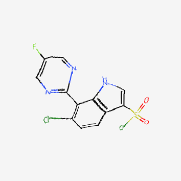 O=S(=O)(Cl)c1c[nH]c2c(-c3ncc(F)cn3)c(Cl)ccc12